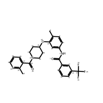 Cc1ccc(NC(=O)c2cccc(C(F)(F)F)c2)cc1OC1CCN(C(=O)c2cccnc2C)CC1